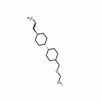 C/C=C/[C@H]1CC[C@H](C2CCC(COCC)CC2)CC1